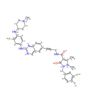 Cc1c(C(=O)NCC#Cc2ccc3nc(Nc4ccc(NC5CCN(C)CC5)c(F)c4)ncc3c2)c(=O)n(Cc2ccc(F)c(F)c2)n1C